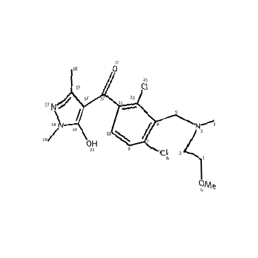 COCCN(C)Cc1c(Cl)ccc(C(=O)c2c(C)nn(C)c2O)c1Cl